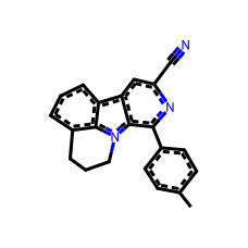 Cc1ccc(-c2nc(C#N)cc3c4cccc5c4n(c23)CCC5)cc1